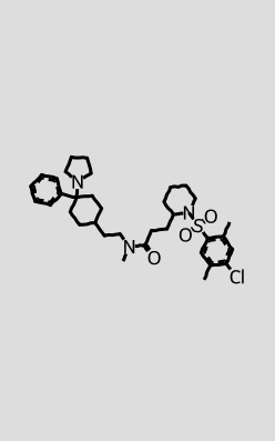 Cc1cc(S(=O)(=O)N2CCCCC2CCC(=O)N(C)CCC2CCC(c3ccccc3)(N3CCCC3)CC2)c(C)cc1Cl